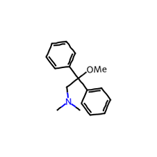 COC(CN(C)C)(c1ccccc1)c1ccccc1